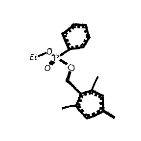 CCOP(=O)(OCc1c(C)cc(C)cc1C)c1ccccc1